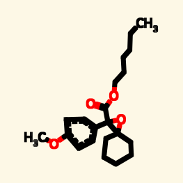 CCCCCCOC(=O)C1(c2ccc(OC)cc2)OC12CCCCC2